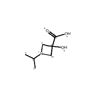 CC(C)N1CC(O)(C(=O)O)C1